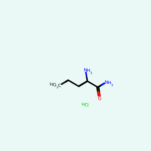 Cl.NC(=O)C(N)CCC(=O)O